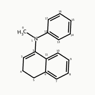 CN(C1=CCCc2ccccc21)c1ccccc1